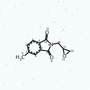 Cc1ccc2c(c1)C(=O)N(CC1CO1)C2=O